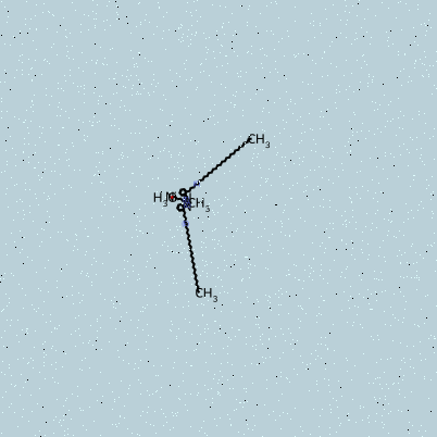 CCCCCCCCCCCCCCCCCCCCCCCC/C=C/CCCc1ccccc1/N=C(C)\C(CCCCC)=N\c1ccccc1CCC/C=C/CCCCCCCCCCCCCCCCCCCCCCCC.[Ni]